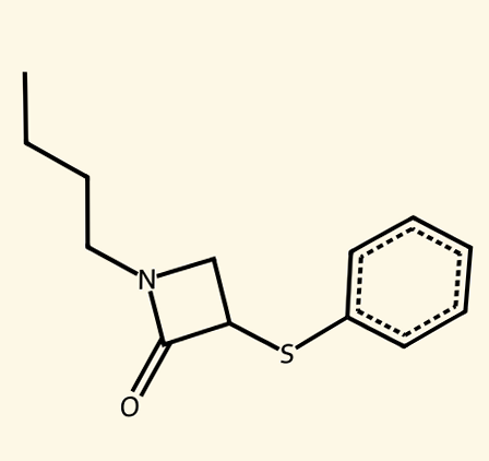 CCCCN1CC(Sc2ccccc2)C1=O